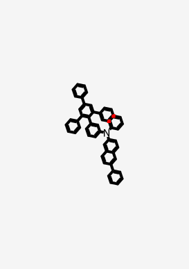 c1ccc(-c2cc(-c3ccccc3)c(-c3cccc(N(c4ccccc4)c4ccc5cc(-c6ccccc6)ccc5c4)c3)c(-c3ccccc3)c2)cc1